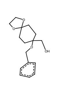 OCC1(OCc2ccccc2)CCC2(CC1)OCCO2